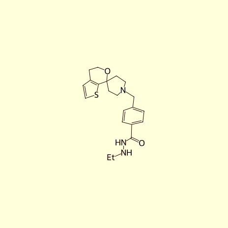 CCNNC(=O)c1ccc(CN2CCC3(CC2)OCCc2ccsc23)cc1